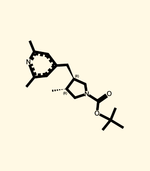 Cc1cc(C[C@H]2CN(C(=O)OC(C)(C)C)C[C@@H]2C)cc(C)n1